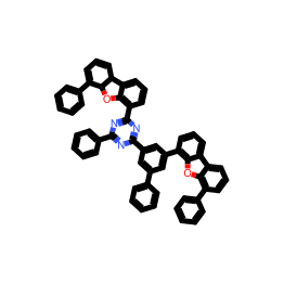 C1=CC2c3cccc(-c4nc(-c5ccccc5)nc(-c5cc(-c6ccccc6)cc(-c6cccc7c6oc6c(-c8ccccc8)cccc67)c5)n4)c3OC2C(c2ccccc2)=C1